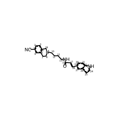 N#Cc1ccc2c(c1)CCN(CCCCNC(=O)C=Cc1ccc3[nH]ccc3c1)C2